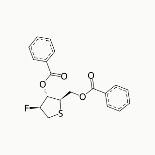 O=C(OC[C@H]1SC[C@@H](F)[C@@H]1OC(=O)c1ccccc1)c1ccccc1